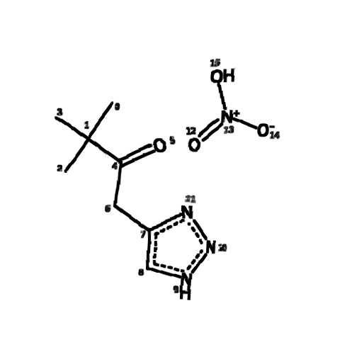 CC(C)(C)C(=O)Cc1c[nH]nn1.O=[N+]([O-])O